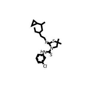 CCC(CCN=C1SC(C)(C)CN1C(=S)Nc1cccc(Cl)c1)CC(C)C1CC1